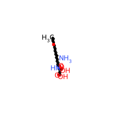 CCCCCCCCCCCCCCCCCC(=O)N[C@@H](CCC(=O)O)C(=O)O.N